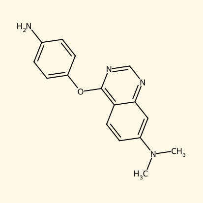 CN(C)c1ccc2c(Oc3ccc(N)cc3)ncnc2c1